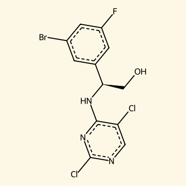 OC[C@@H](Nc1nc(Cl)ncc1Cl)c1cc(F)cc(Br)c1